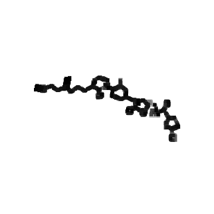 Cc1cc(N2C[C@H](CNC(=O)c3ccc(Cl)s3)OC2=O)ccc1-n1cccc(CCCNCCO)c1=O